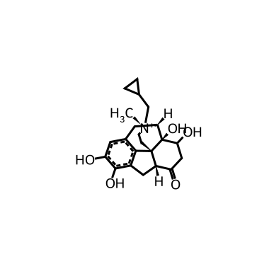 C[N@+]1(CC2CC2)CC[C@]23c4c5cc(O)c(O)c4C[C@H]2C(=O)CC(O)[C@@]3(O)[C@H]1C5